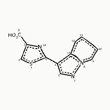 O=C(O)c1csc(-c2cnn3ccccc23)n1